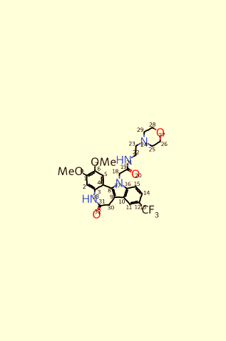 COc1cc2c(cc1OC)-c1c(c3cc(C(F)(F)F)ccc3n1CC(=O)NCCN1CCOCC1)CC(=O)N2